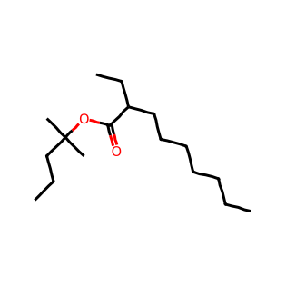 CCCCCCCC(CC)C(=O)OC(C)(C)CCC